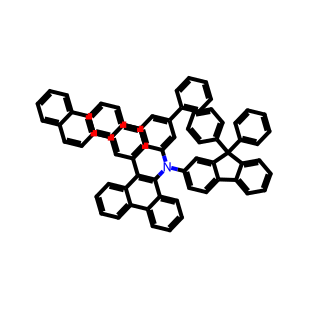 c1ccc(-c2cc(-c3ccccc3)cc(N(c3ccc4c(c3)C(c3ccccc3)(c3ccccc3)c3ccccc3-4)c3c(-c4cccc(-c5ccc6ccccc6c5)c4)c4ccccc4c4ccccc34)c2)cc1